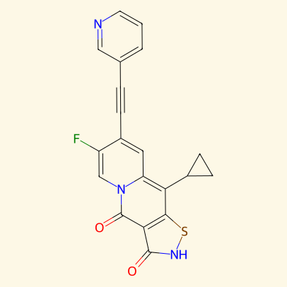 O=c1[nH]sc2c(C3CC3)c3cc(C#Cc4cccnc4)c(F)cn3c(=O)c12